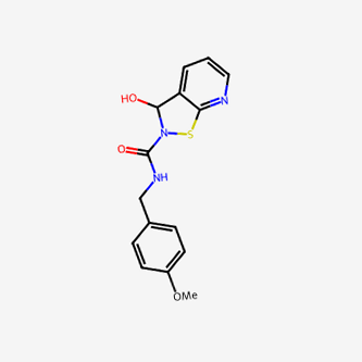 COc1ccc(CNC(=O)N2Sc3ncccc3C2O)cc1